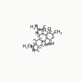 Cc1cc2[nH]ncc2c(-c2c(-c3ccc4cnn(C)c4c3)nn(N)c2C)c1Cl